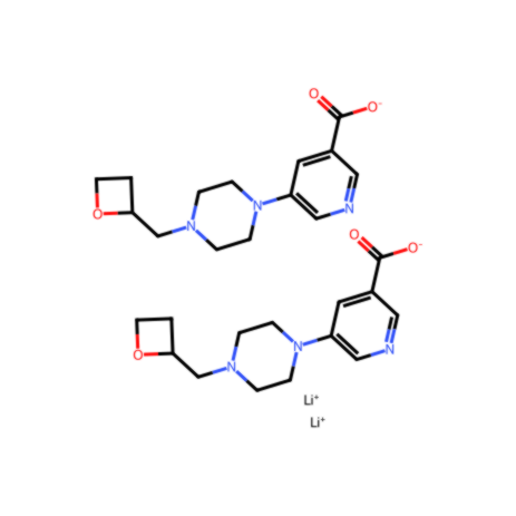 O=C([O-])c1cncc(N2CCN(CC3CCO3)CC2)c1.O=C([O-])c1cncc(N2CCN(CC3CCO3)CC2)c1.[Li+].[Li+]